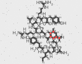 CC[C@H](C)[C@H](NC(=O)[C@H](CC(C)C)NC(=O)[C@H](CC(N)=O)NC(=O)[C@@H](NC(=O)[C@@H](N)Cc1ccc(O)cc1)[C@@H](C)CC)C(=O)N[C@@H](Cc1ccc(O)cc1)C(=O)N[C@@H](CCCNC(=N)N)C(=O)N[C@@H](CC(C)C)C(=O)N[C@@H](CCCNC(=N)N)C(=O)N[C@@H](Cc1ccc(O)cc1)C(=O)O